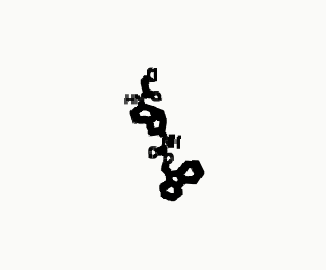 O=C(CCl)NC12CC=C3CC(NC(=O)OCC4c5ccccc5-c5ccccc54)C(C1)C3C2